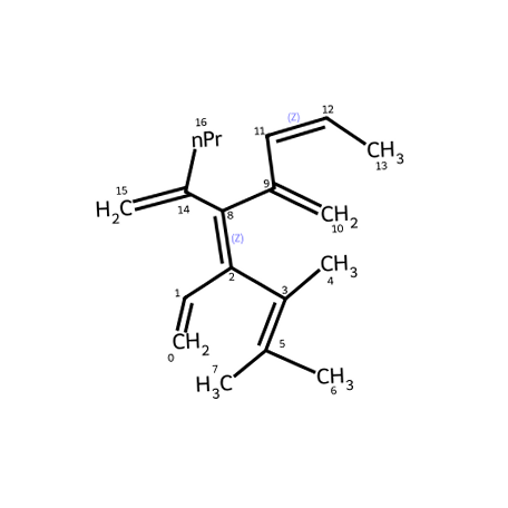 C=C/C(C(C)=C(C)C)=C(/C(=C)/C=C\C)C(=C)CCC